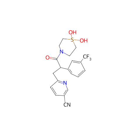 N#Cc1ccc(CC(C(=O)N2CCS(O)(O)CC2)c2cccc(C(F)(F)F)c2)nc1